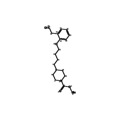 CC(C)(C)OC(=O)N1CCC(CCCCOc2ccccc2CC=O)CC1